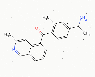 Cc1cc2c(C(=O)c3ccc(C(C)N)cc3C)cccc2cn1